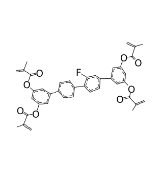 C=C(C)C(=O)Oc1cc(OC(=O)C(=C)C)cc(-c2ccc(-c3ccc(-c4cc(OC(=O)C(=C)C)cc(OC(=O)C(=C)C)c4)cc3F)cc2)c1